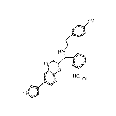 Cl.Cl.N#Cc1ccc(CCN[C@H](c2ccccc2)[C@@H]2CNc3cc(-c4cc[nH]c4)cnc3O2)cc1